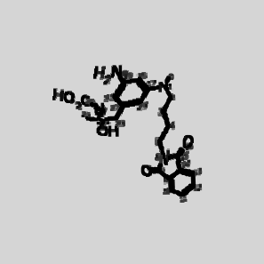 CN(CCCCN1C(=O)c2ccccc2C1=O)c1cc(N)cc(C[SH](C)(O)=NC(=O)O)c1